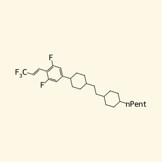 CCCCCC1CCC(CCC2CCC(c3cc(F)c(/C=C/C(F)(F)F)c(F)c3)CC2)CC1